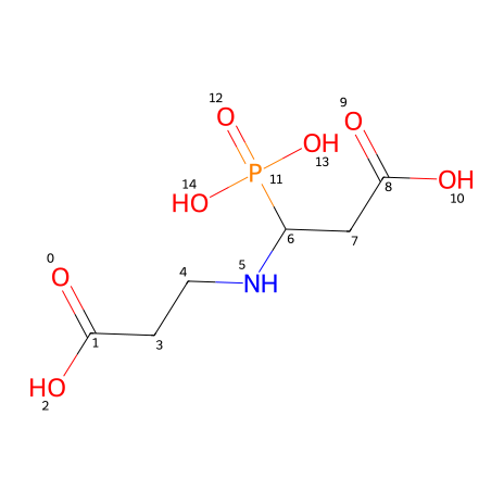 O=C(O)CCNC(CC(=O)O)P(=O)(O)O